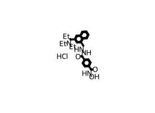 CCC(c1cc(CNNC(=O)c2ccc(C(=O)NO)cc2)c2ccccc2c1)N(CC)CC.Cl